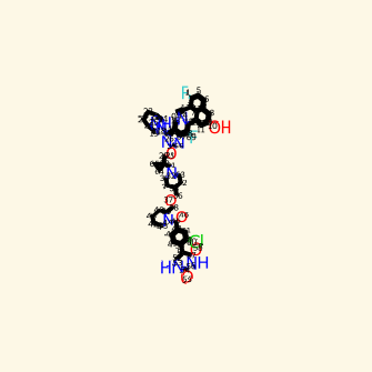 C#Cc1c(F)ccc2cc(O)cc(-c3ncc4c(N5CC6CCC(C5)N6)nc(OCC5(CN6CCC(COCC7CCCCN7C(=O)c7ccc(C8CNC(=O)NC8=O)c(Cl)c7)CC6)CC5)nc4c3F)c12